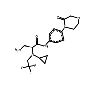 NC[C@@H](C(=O)Nc1ccc(N2CCOCC2=O)cc1)N(CC(F)(F)F)C1CC1